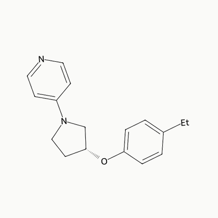 CCc1ccc(O[C@@H]2CCN(c3ccncc3)C2)cc1